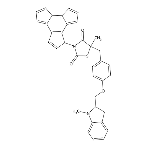 CN1c2ccccc2CC1COc1ccc(CC2(C)SC(=O)N(C3C=Cc4c3c3c(c5c4=CC=C5)C=CC=3)C2=O)cc1